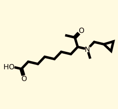 CC(=O)C(CCCCCCC(=O)O)N(C)CC1CC1